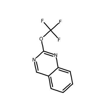 FC(F)(F)Oc1ncc2ccccc2n1